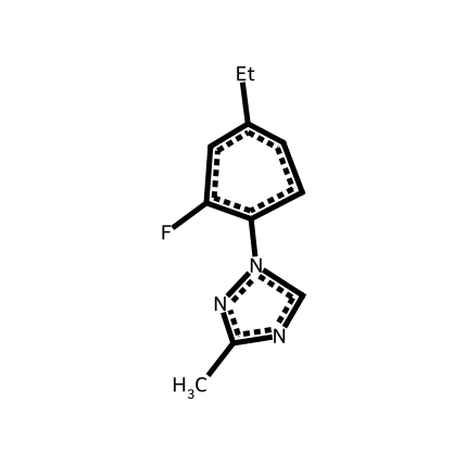 CCc1ccc(-n2cnc(C)n2)c(F)c1